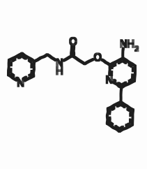 Nc1ccc(-c2ccccc2)nc1OCC(=O)NCc1cccnc1